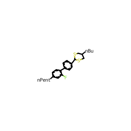 CCCCCc1ccc(-c2ccc(C3SCC(CCCC)CS3)cc2)c(F)c1